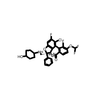 NC(=O)c1ccc(OC(F)F)c(F)c1-c1c(Cl)c(F)cc2c1[C@H](O)[C@@](CNC1CCC(O)CC1)(c1ccccc1)O2